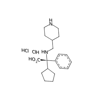 Cl.Cl.O=C(O)[C@@](NCC1CCNCC1)(c1ccccc1)C1CCCC1